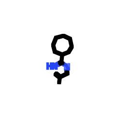 C=C(C)/C=N\C(=N)C1CCCCCCC1